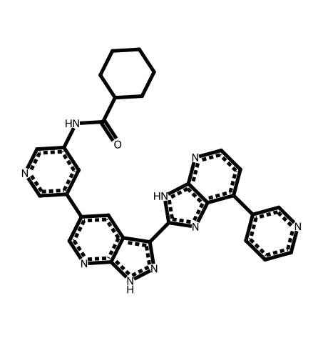 O=C(Nc1cncc(-c2cnc3[nH]nc(-c4nc5c(-c6cccnc6)ccnc5[nH]4)c3c2)c1)C1CCCCC1